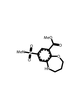 CNS(=O)(=O)c1cc2c(c(C(=O)OC)c1)OCCCN2